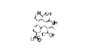 CC1=C(C(=O)O)C(c2cccc([N+](=O)[O-])c2)C(c2cccnc2S)=C(C)N1